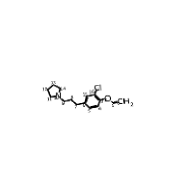 C=COc1ccc(CCCN2CCCC2)cc1Cl